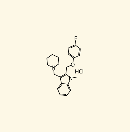 Cl.Cn1c(COc2ccc(F)cc2)c(CN2CCCCC2)c2ccccc21